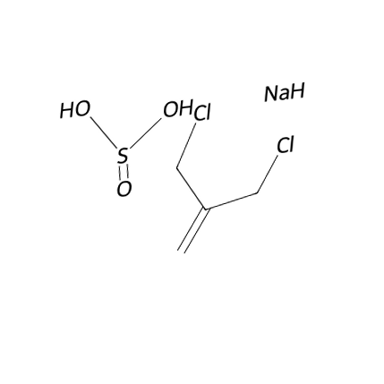 C=C(CCl)CCl.O=S(O)O.[NaH]